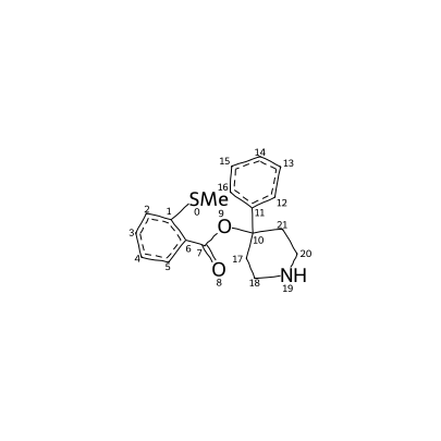 CSc1ccccc1C(=O)OC1(c2ccccc2)CCNCC1